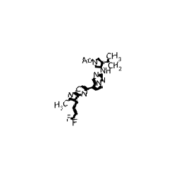 C=C(C)[C@@H]1CN(C(C)=O)CC1Nc1ncc2c(-c3ccc4c(n3)C(CCCC(F)F)C(C)=N4)ccn2n1